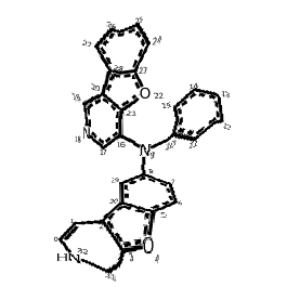 C1=Cc2c(oc3ccc(N(c4ccccc4)c4cncc5c4oc4ccccc45)cc23)CN1